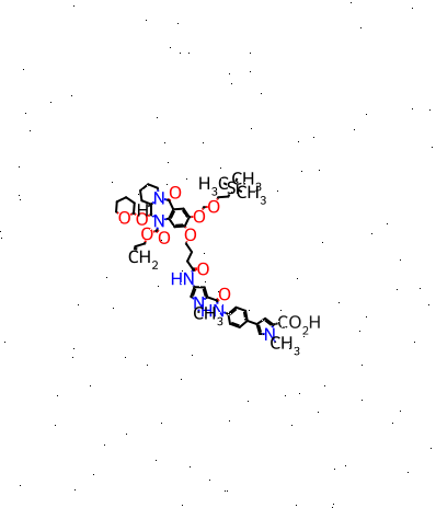 C=CCOC(=O)N1c2cc(OCCCC(=O)Nc3cc(C(=O)Nc4ccc(-c5cc(C(=O)O)n(C)c5)cc4)n(C)c3)c(OCOCC[Si](C)(C)C)cc2C(=O)N2CCCC[C@H]2C1OC1CCCCO1